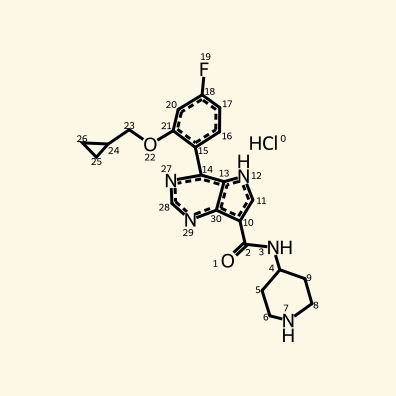 Cl.O=C(NC1CCNCC1)c1c[nH]c2c(-c3ccc(F)cc3OCC3CC3)ncnc12